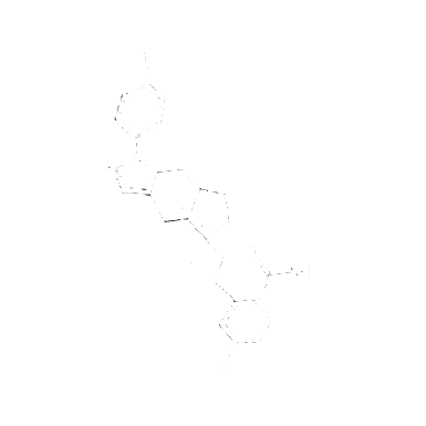 C[C@]12Cc3cnn(-c4ccc(F)cc4)c3C=C1CC[C@@]2(O)CCc1cc(F)ccc1C(N)=O